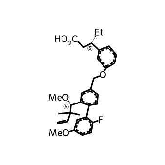 C=CC(C)(C)[C@H](OC)c1cc(COc2cccc([C@@H](CC)CC(=O)O)c2)ccc1-c1cc(OC)ccc1F